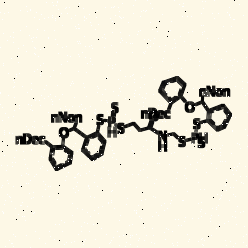 CCCCCCCCCCc1ccccc1OC(CCCCCCCCC)c1ccccc1S[PH](=S)SCCC(=O)NCS[PH](=S)Sc1ccccc1C(CCCCCCCCC)Oc1ccccc1CCCCCCCCCC